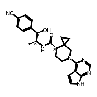 C[C@H](NC(=O)[C@H]1CCN(c2ncnc3[nH]ccc23)CC12CC2)[C@H](O)c1ccc(C#N)cc1